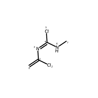 C=C(Cl)/N=C(/Cl)NC